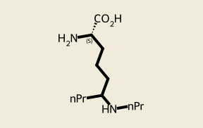 CCCNC(CCC)CCC[C@H](N)C(=O)O